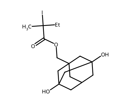 CCC(C)(I)C(=O)OCC12CC3CC(O)(CC(O)(C3)C1)C2